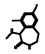 CNC1C(=O)NCCc2cc(F)cc(C)c21